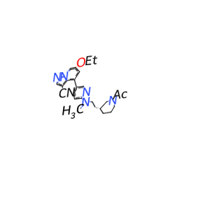 CCOc1cc(-c2ccc(N(C)CC[C@H]3CCCN(C(C)=O)C3)nc2)c2c(C#N)cnn2c1